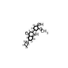 COc1cc(-c2cc(=O)c3cc(N4CCCC4)ccc3[nH]2)ccc1O